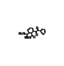 CNC(=O)c1cccc(C(=O)C(=O)c2ccccc2)c1C(=O)NC